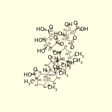 CC1(C)[C@@H](O[C@@H]2O[C@H](C(=O)O)[C@@H](O)[C@H](O)[C@H]2O[C@@H]2O[C@H](C(=O)O)[C@@H](O)[C@H](O)[C@H]2O)CC[C@]2(C)[C@H]3C(=O)C=C4[C@@H]5C[C@](C)(C(=O)O)CC[C@]5(C)CC[C@@]4(C)[C@]3(C)CC[C@@H]12